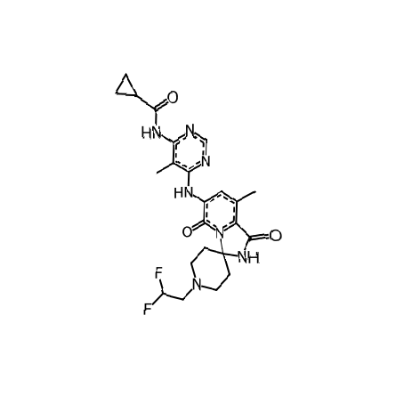 Cc1cc(Nc2ncnc(NC(=O)C3CC3)c2C)c(=O)n2c1C(=O)NC21CCN(CC(F)F)CC1